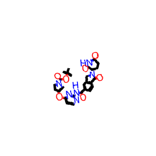 CC(C)(C)OC(=O)N1CCC(Oc2ccnc(NC(=O)c3ccc4c(c3)CN(C3CCC(=O)NC3=O)C4=O)n2)C1